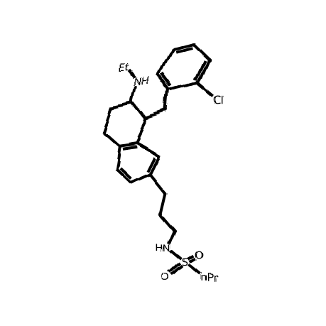 CCCS(=O)(=O)NCCCc1ccc2c(c1)C(Cc1ccccc1Cl)C(NCC)CC2